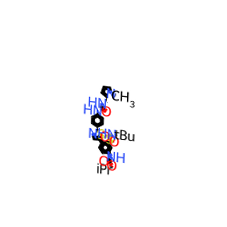 CC(C)OC(=O)Nc1ccc(-c2cnc([C@H]3CC[C@H](NC(=O)NC[C@@H]4CCCN4C)CC3)s2)c(S(=O)(=O)NC(C)(C)C)c1